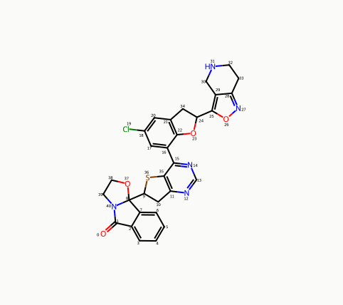 O=C1c2ccccc2C2(C3Cc4ncnc(-c5cc(Cl)cc6c5OC(c5onc7c5CNCC7)C6)c4S3)OCCN12